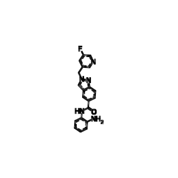 Nc1ccccc1NC(=O)c1ccc2nn(Cc3cncc(F)c3)cc2c1